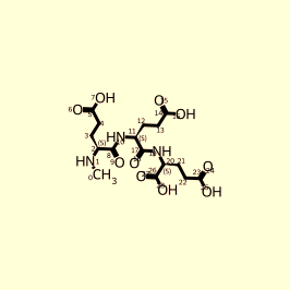 CN[C@@H](CCC(=O)O)C(=O)N[C@@H](CCC(=O)O)C(=O)N[C@@H](CCC(=O)O)C(=O)O